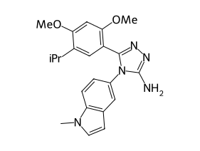 COc1cc(OC)c(C(C)C)cc1-c1nnc(N)n1-c1ccc2c(ccn2C)c1